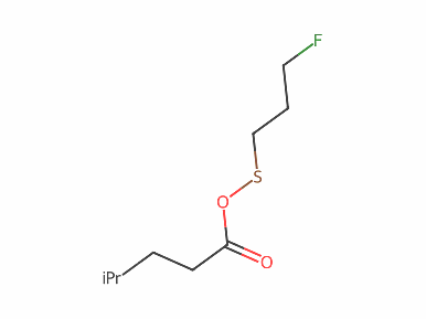 CC(C)CCC(=O)OSCCCF